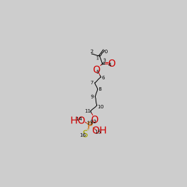 C=C(C)C(=O)OCCCCCCOP(O)(O)=S